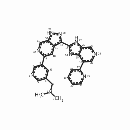 CN(C)Cc1cncc(-c2cc3c(-c4nc5c(-c6ccccn6)cncc5[nH]4)n[nH]c3cn2)c1